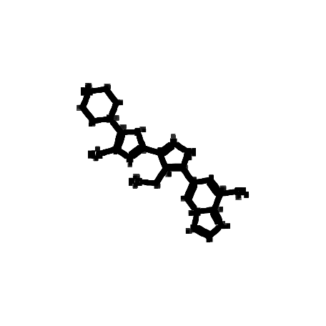 Cc1nc(-c2n[nH]c(-c3cc(C)c4ncnn4c3)c2CC(F)(F)F)sc1N1CCNCC1